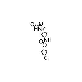 C[C@H](NC(=O)C1COC1)c1ccc(NC(=O)OCc2ccc(Cl)cc2)cc1